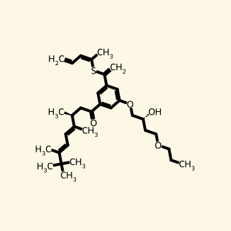 C=C/C=C(/C)SC(=C)c1cc(OC[C@H](O)CCOCCC)cc(C(=O)C[C@H](C)/C(C)=C/C=C(\C)C(C)(C)C)c1